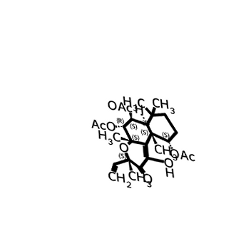 C=C[C@]1(C)O[C@@]2(C)C(=C(O)C1=O)[C@@]1(C)[C@@H](OC(C)=O)CCC(C)(C)[C@@H]1[C@H](OC(C)=O)[C@H]2OC(C)=O